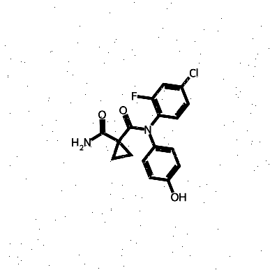 NC(=O)C1(C(=O)N(c2ccc(O)cc2)c2ccc(Cl)cc2F)CC1